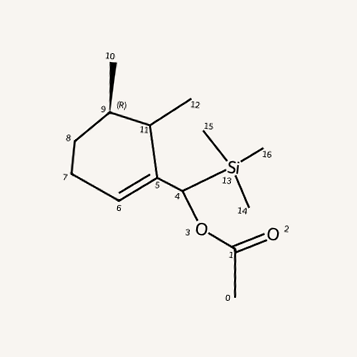 CC(=O)OC(C1=CCC[C@@H](C)C1C)[Si](C)(C)C